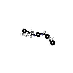 O=C(/C=C/c1ccc(/C=C2\SC(=S)N(C(Cc3ccccc3)C(=O)O)C2=O)cc1)c1ccc(OCc2ccccc2F)cc1